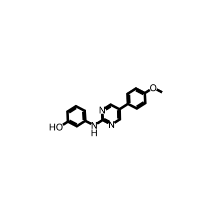 COc1ccc(-c2cnc(Nc3cccc(O)c3)nc2)cc1